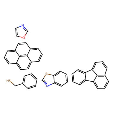 SCc1ccccc1.[c]1ccc2ccc3cccc4ccc1c2c43.[c]1nc2ccccc2s1.[c]1ncco1.c1ccc2c(c1)-c1cccc3cccc-2c13